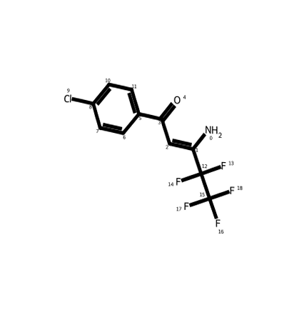 NC(=CC(=O)c1ccc(Cl)cc1)C(F)(F)C(F)(F)F